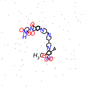 COc1cc(N2CCC(C3CCN(CC4CCN(c5ccc6c(c5)C(=O)N(C5CCC(=O)NC5=O)C6=O)CC4)CC3)CC2)c(C2CC2)cc1[N+](=O)[O-]